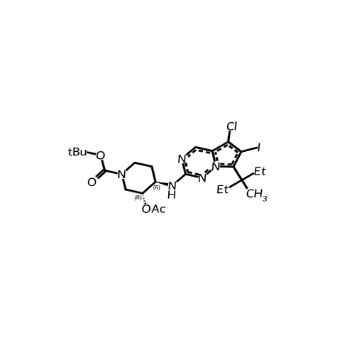 CCC(C)(CC)c1c(I)c(Cl)c2cnc(N[C@@H]3CCN(C(=O)OC(C)(C)C)C[C@H]3OC(C)=O)nn12